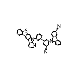 N#Cc1cc(-c2cccc(-n3c4cc5sc6ccccc6c5cc4c4cccnc43)c2)cc(-n2c3ccccc3c3cc(C#N)ccc32)c1